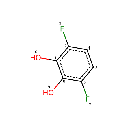 Oc1c(F)[c]cc(F)c1O